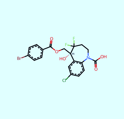 O=C(OC[C@]1(O)c2cc(Cl)ccc2N(C(=O)O)CCC1(F)F)c1ccc(Br)cc1